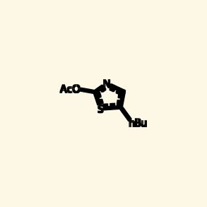 CCCCc1cnc(OC(C)=O)s1